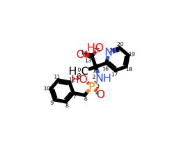 CC(NP(=O)(O)Cc1ccccc1)(C(=O)O)c1ccccn1